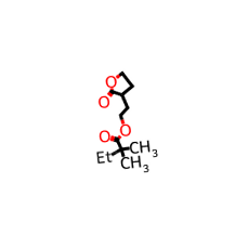 CCC(C)(C)C(=O)OCCC1CCOC1=O